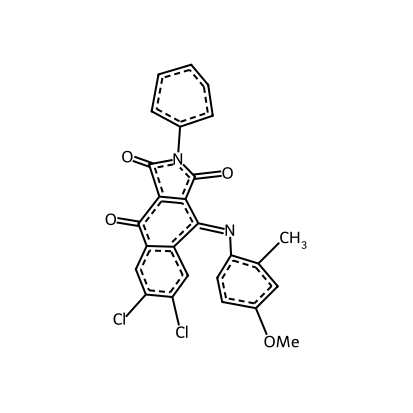 COc1ccc(N=c2c3c(=O)n(-c4ccccc4)c(=O)c=3c(=O)c3cc(Cl)c(Cl)cc23)c(C)c1